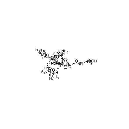 CC(C)[C@H](NC(=O)CCCCCN1NNC2=C1c1ccccc1N(C(=O)CCCCC(=O)NCCCCCCO[PH](O)=S)Cc1ccccc12)C(=O)N[C@@H](C)C(=O)Nc1ccc(CSP(=O)(OC[C@@H]2C[C@@H](F)[C@H](n3cnc4c(N)ncnc43)O2)O[C@H]2[C@@H](F)[C@H](n3cnc4c(N)ncnc43)O[C@@H]2CO[PH](=O)O)cc1